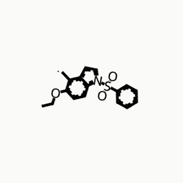 [CH2]c1c(OCC)ccc2c1ccn2S(=O)(=O)c1ccccc1